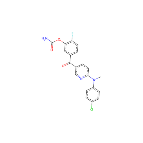 CN(c1ccc(Cl)cc1)c1ccc(C(=O)c2ccc(F)c(OC(N)=O)c2)cn1